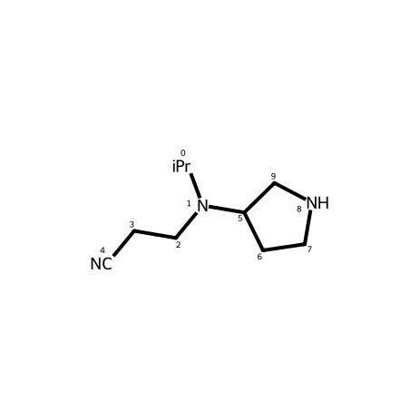 CC(C)N(CCC#N)C1CCNC1